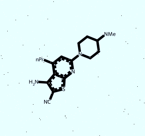 CCCc1cc(N2CCC(NC)CC2)nc2sc(C#N)c(N)c12